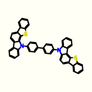 c1ccc2c(c1)sc1c2ccc2c1c1ccccc1n2-c1ccc(-c2ccc(-n3c4ccccc4c4ccc5c6ccccc6sc5c43)cc2)cc1